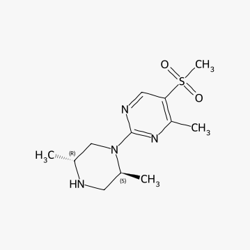 Cc1nc(N2C[C@@H](C)NC[C@@H]2C)ncc1S(C)(=O)=O